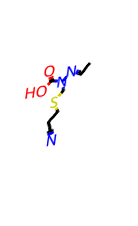 CC=NN(CSCCC#N)C(=O)O